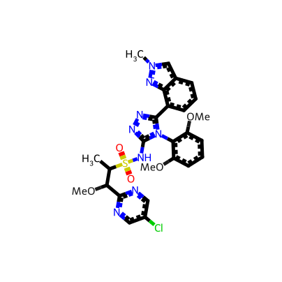 COc1cccc(OC)c1-n1c(NS(=O)(=O)C(C)C(OC)c2ncc(Cl)cn2)nnc1-c1cccc2cn(C)nc12